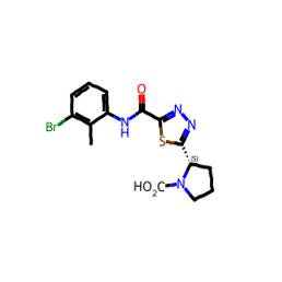 Cc1c(Br)cccc1NC(=O)c1nnc([C@@H]2CCCN2C(=O)O)s1